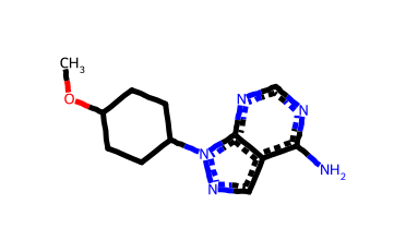 COC1CCC(n2ncc3c(N)ncnc32)CC1